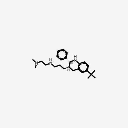 CN(C)CCNCCC[C@@H]1Cc2cc(C(C)(C)C)ccc2N[C@H]1c1ccccc1